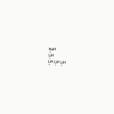 [LiH].[LiH].[LiH].[LiH].[NaH]